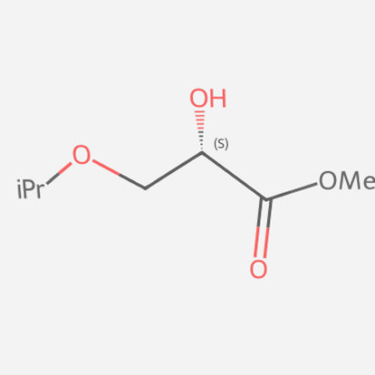 COC(=O)[C@@H](O)COC(C)C